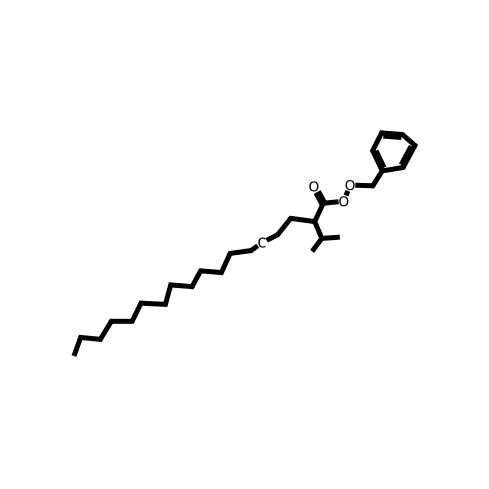 CCCCCCCCCCCCCCCCC(C(=O)OOCc1ccccc1)C(C)C